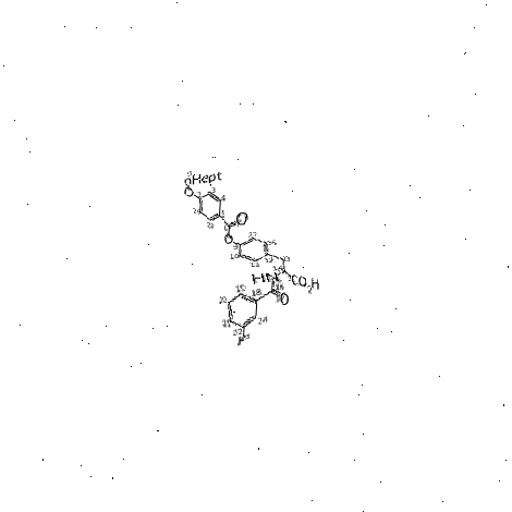 CCCCCCCOc1ccc(C(=O)Oc2ccc(C[C@H](NC(=O)c3cccc(F)c3)C(=O)O)cc2)cc1